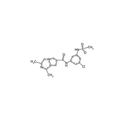 Cc1cn2cc(C(=O)Nc3cc(Cl)cc(NS(C)(=O)=O)c3)cc2c(C)n1